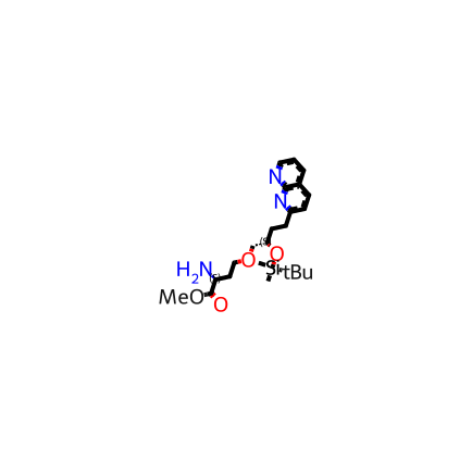 COC(=O)[C@@H](N)CCOC[C@H](CCc1ccc2cccnc2n1)O[Si](C)(C)C(C)(C)C